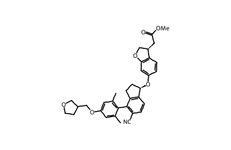 COC(=O)C[C@@H]1COc2cc(O[C@@H]3CCc4c3ccc(C#N)c4-c3c(C)cc(OCC4CCOC4)cc3C)ccc21